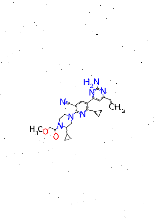 C=Cc1cc(-c2cc(C#N)c(N3CCN(C(=O)COC)C(C4CC4)C3)nc2C2CC2)nc(N)n1